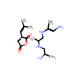 CC(C)=CC1CC(=O)OC1=O.CC(N)CNC(C)CNC(C)CN